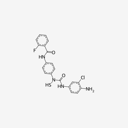 Nc1ccc(NC(=O)N(S)c2ccc(NC(=O)c3ccccc3F)cc2)cc1Cl